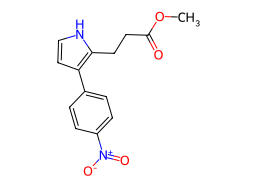 COC(=O)CCc1[nH]ccc1-c1ccc([N+](=O)[O-])cc1